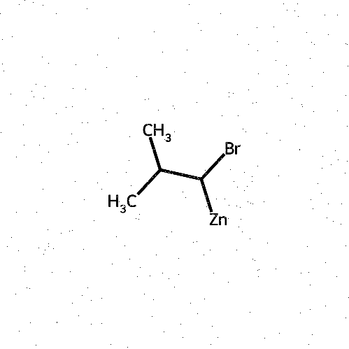 CC(C)[CH]([Zn])Br